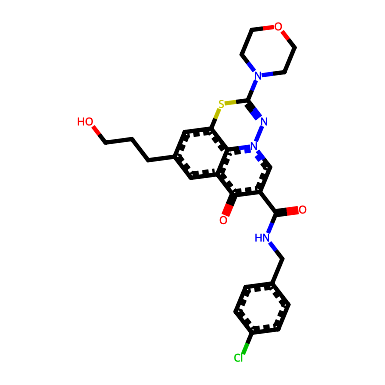 O=C(NCc1ccc(Cl)cc1)c1cn2c3c(cc(CCCO)cc3c1=O)SC(N1CCOCC1)=N2